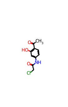 CC(=O)c1ccc(NC(=O)CCl)cc1O